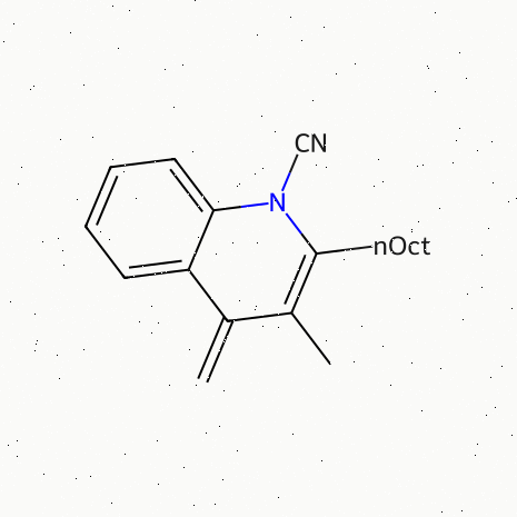 C=C1C(C)=C(CCCCCCCC)N(C#N)c2ccccc21